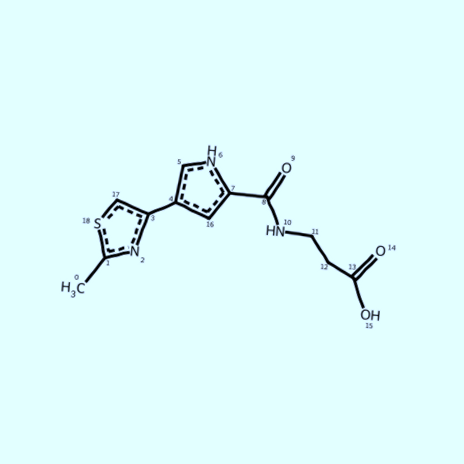 Cc1nc(-c2c[nH]c(C(=O)NCCC(=O)O)c2)cs1